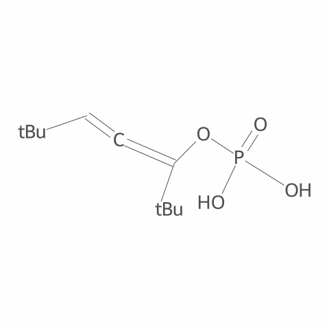 CC(C)(C)C=C=C(OP(=O)(O)O)C(C)(C)C